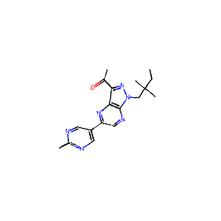 CCC(C)(C)Cn1nc(C(C)=O)c2nc(-c3cnc(C)nc3)cnc21